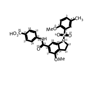 COc1ccc(C)cc1S(=O)(=O)N1CCc2c(OC)cc(C(=O)Nc3ccc(C(=O)O)cc3)cc21